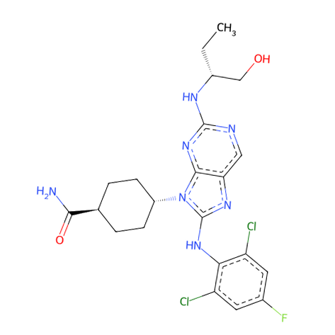 CC[C@H](CO)Nc1ncc2nc(Nc3c(Cl)cc(F)cc3Cl)n([C@H]3CC[C@H](C(N)=O)CC3)c2n1